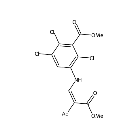 COC(=O)C(=CNc1cc(Cl)c(Cl)c(C(=O)OC)c1Cl)C(C)=O